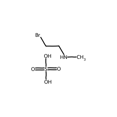 CNCCBr.O=S(=O)(O)O